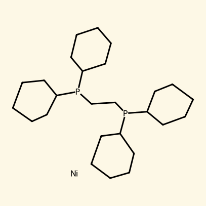 C1CCC(P(CCP(C2CCCCC2)C2CCCCC2)C2CCCCC2)CC1.[Ni]